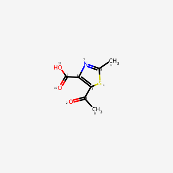 CC(=O)c1sc(C)nc1C(=O)O